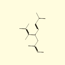 CC=C(C)C[C](C=CC(C)C)C(C)=C(C)C